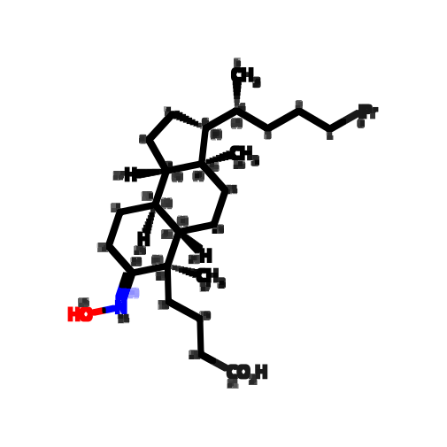 CC(C)CCC[C@@H](C)[C@H]1CC[C@H]2[C@@H]3CC/C(=N\O)[C@](C)(CCCC(=O)O)[C@H]3CC[C@]12C